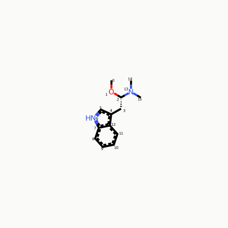 CO[C@@H](Cc1c[nH]c2ccccc12)N(C)C